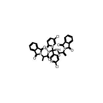 C=C(C(=O)NC1(c2ccc(Cl)nc2)N2C=C(Cl)C=CC2=NN1C(=O)C(C)N1C(=O)c2ccccc2C1=O)N1C(=O)c2ccccc2C1=O